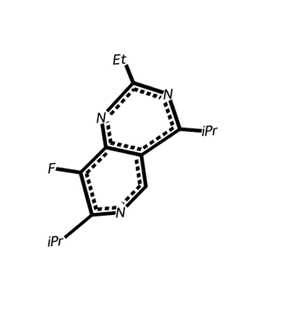 CCc1nc(C(C)C)c2cnc(C(C)C)c(F)c2n1